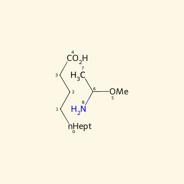 CCCCCCCCCCC(=O)O.COC(C)N